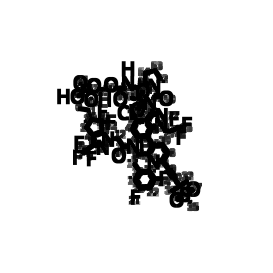 CC[C@@H]1Cc2c(C(F)(F)F)nn(CC(=O)N[C@@H](Cc3cc(F)cc(F)c3)c3nc(C#CC(C)(C)S(C)(=O)=O)ccc3-c3ccc(Cl)c4c(N(C(=O)N5CCC[C@H]5CNC(=O)OCOP(=O)(O)O)S(C)(=O)=O)nn(CC(F)(F)F)c34)c2C1(F)F